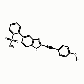 CCOc1ccc(C#Cc2nc3cc(-c4ccccc4S(N)(=O)=O)ccc3[nH]2)cc1